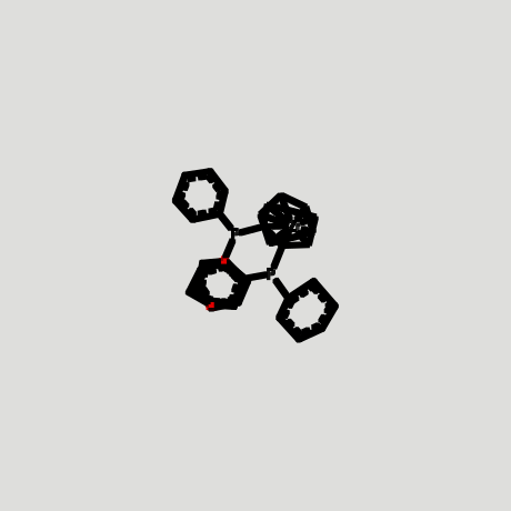 c1ccc(P(c2ccccc2)[C]23[CH]4[CH]5[CH]6[C]2(P(c2ccccc2)c2ccccc2)[Zr]54632789[CH]3[CH]2[CH]7[CH]8[CH]39)cc1